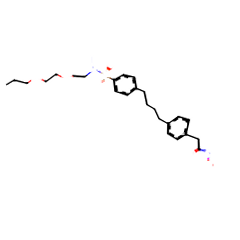 CCCOCCOCCNS(=O)(=O)c1ccc(CCCCc2ccc(CC(=O)NO)cc2)cc1